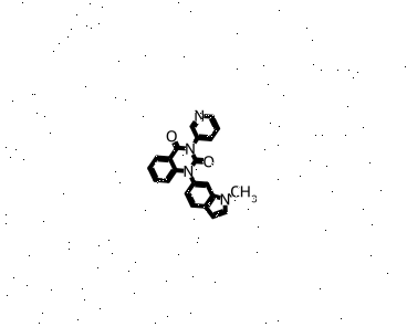 Cn1ccc2ccc(-n3c(=O)n(-c4cccnc4)c(=O)c4ccccc43)cc21